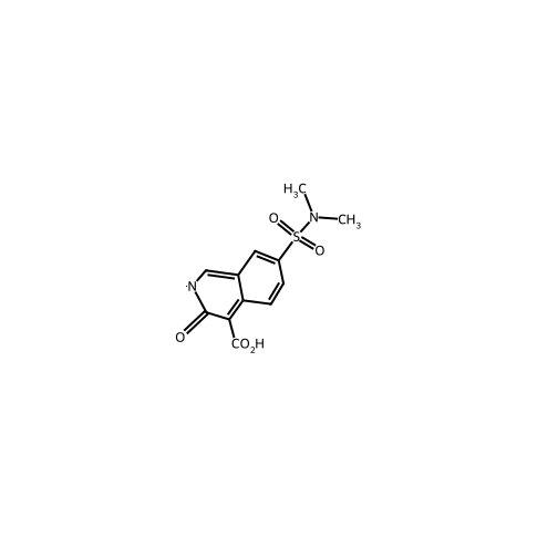 CN(C)S(=O)(=O)c1ccc2c(c1)=C[N]C(=O)C=2C(=O)O